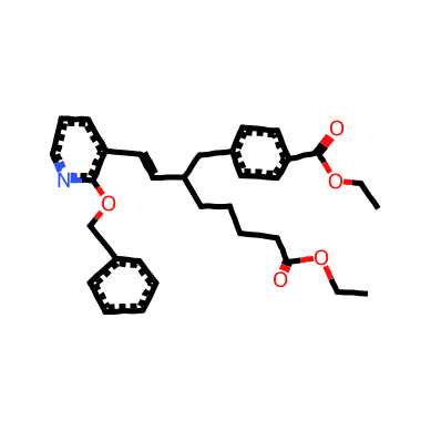 CCOC(=O)CCCCC(/C=C/c1cccnc1OCc1ccccc1)Cc1ccc(C(=O)OCC)cc1